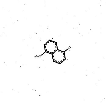 COc1cccc2c([O])cccc12